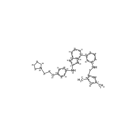 Cc1nc(CNc2cccc(-c3cccc4nc(Nc5ccc(OCCN6CCCC6)cc5)nn34)c2)c(C)o1